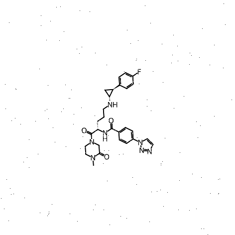 CN1CCN(C(=O)[C@H](CCCN[C@@H]2C[C@H]2c2ccc(F)cc2)NC(=O)c2ccc(-n3ccnn3)cc2)CC1=O